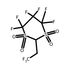 O=S1(=O)C(CC(F)(F)F)S(=O)(=O)C(F)(F)C(F)(F)C1(F)F